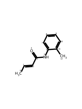 C/C=C/C(=O)Nc1c[c]ccc1C